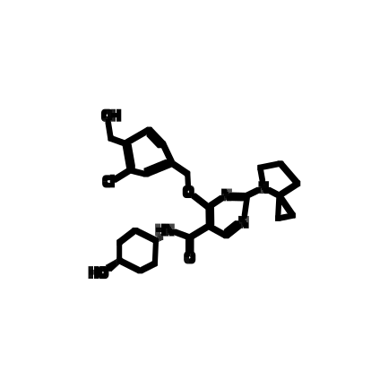 O=C(N[C@H]1CC[C@H](O)CC1)c1cnc(N2CCCC23CC3)nc1OCc1ccc(CO)c(Cl)c1